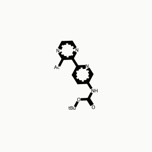 CC(=O)c1nccnc1-c1ccc(NC(=O)OC(C)(C)C)cn1